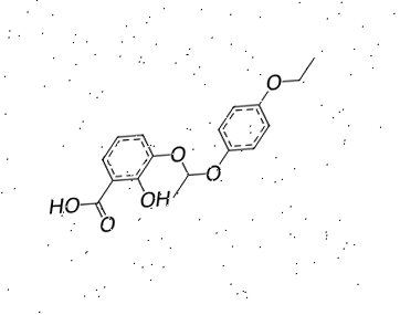 CCOc1ccc(OC(C)Oc2cccc(C(=O)O)c2O)cc1